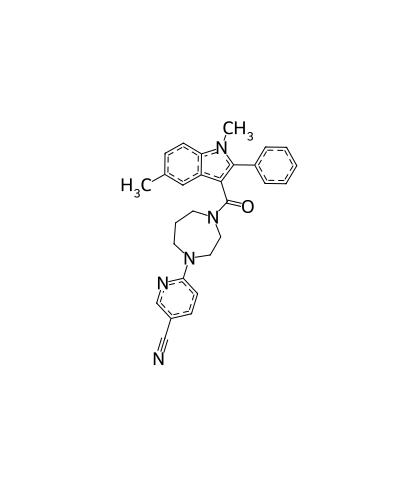 Cc1ccc2c(c1)c(C(=O)N1CCCN(c3ccc(C#N)cn3)CC1)c(-c1ccccc1)n2C